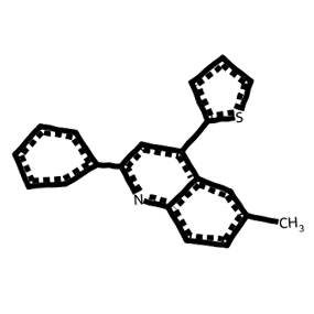 Cc1ccc2nc(-c3ccccc3)cc(-c3cccs3)c2c1